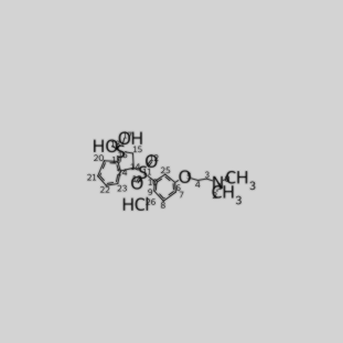 CN(C)CCOc1cccc(S(=O)(=O)C2CS(O)(O)c3ccccc32)c1.Cl